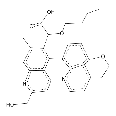 CCCCOC(C(=O)O)c1c(C)cc2nc(CO)ccc2c1-c1ccc2c3c(ccnc13)CCO2